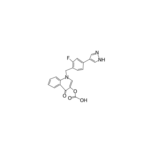 O=C(O)Oc1cn(Cc2ccc(-c3cn[nH]c3)cc2F)c2ccccc2c1=O